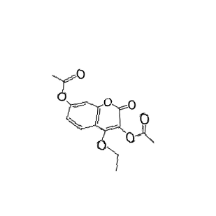 CCOc1c(OC(C)=O)c(=O)oc2cc(OC(C)=O)ccc12